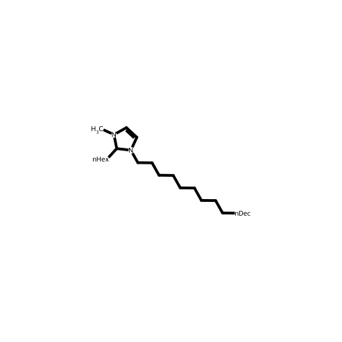 CCCCCCCCCCCCCCCCCCCN1C=CN(C)C1CCCCCC